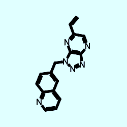 C=Cc1cnc2nnn(Cc3ccc4ncccc4c3)c2n1